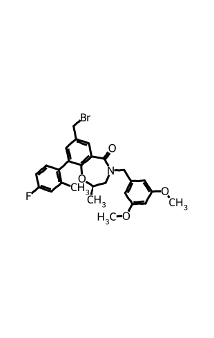 COc1cc(CN2C[C@@H](C)Oc3c(cc(CBr)cc3-c3ccc(F)cc3C)C2=O)cc(OC)c1